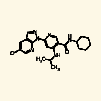 CC(C)Nc1cc(-n2ncc3cc(Cl)cnc32)ncc1C(=O)NC1CCCCC1